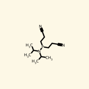 CC(C)N(C(C)C)P(CCC#N)CCC#N